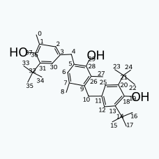 Cc1cc(Cc2cc(C)c(Cc3cc(C(C)(C)C)c(O)c(C(C)(C)C)c3)c(C)c2O)cc(C(C)(C)C)c1O